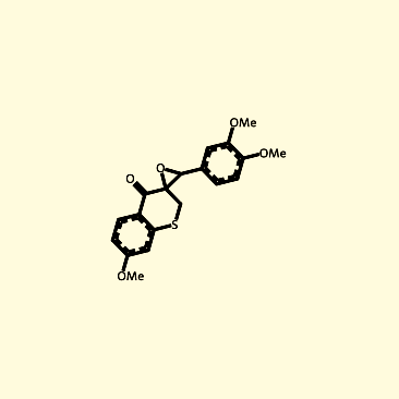 COc1ccc2c(c1)SCC1(OC1c1ccc(OC)c(OC)c1)C2=O